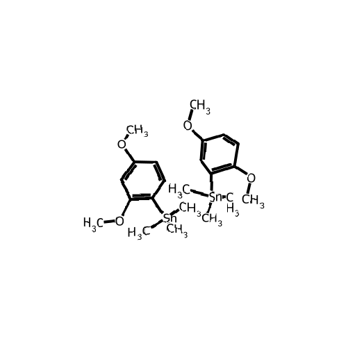 COc1cc[c]([Sn]([CH3])([CH3])[CH3])c(OC)c1.COc1ccc(OC)[c]([Sn]([CH3])([CH3])[CH3])c1